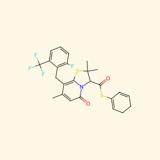 Cc1cc(=O)n2c(c1Cc1c(F)cccc1C(F)(F)F)SC(C)(C)C2C(=O)SC1=CCCC=C1